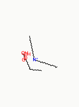 CCCCCCCC/C=C\CCCCCCCC(=O)OCC(O)CO.CCCCCCCCCCCCCCCCCC[N+](C)(C)CCCCCCCCCCCCCCCCCC